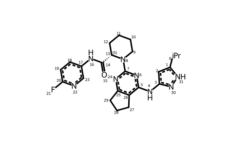 CC(C)c1cc(Nc2nc(N3CCCC[C@H]3C(=O)Nc3ccc(F)nc3)nc3c2CCC3)n[nH]1